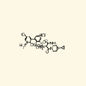 COc1c(-c2cc(Cl)cn(C)c2=O)cccc1S(=O)(=O)N[C@@H](C(N)=O)C(=O)N1CCN(C2CC2)CC1.Cl